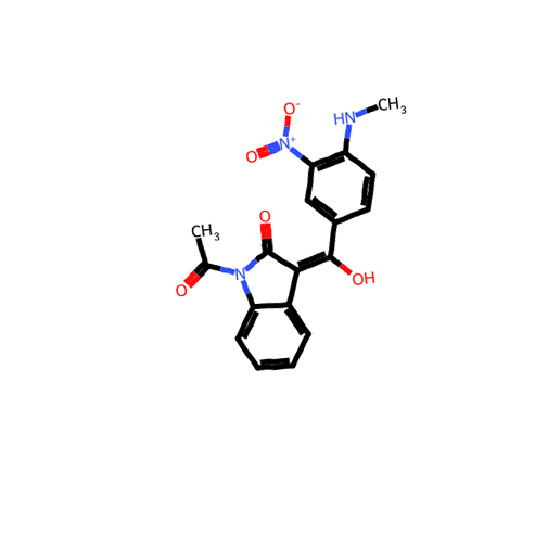 CNc1ccc(C(O)=C2C(=O)N(C(C)=O)c3ccccc32)cc1[N+](=O)[O-]